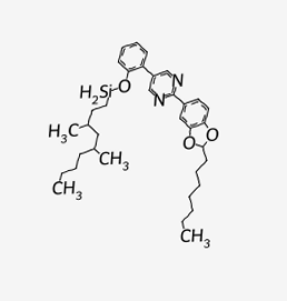 CCCCCCCC1Oc2ccc(-c3ncc(-c4ccccc4O[SiH2]CCC(C)CC(C)CCCC)cn3)cc2O1